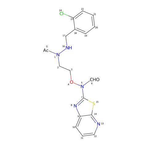 CC(=O)N(CCON(C=O)c1nc2cccnc2s1)NCc1ccccc1Cl